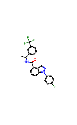 CC(NC(=O)c1cccc2c1cnn2-c1ccc(F)cc1)c1cccc(C(F)(F)F)c1